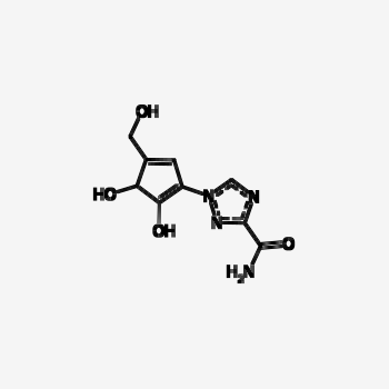 NC(=O)c1ncn(C2=C(O)C(O)C(CO)=C2)n1